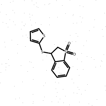 O=S1(=O)CC(Sc2cccs2)c2ccccc21